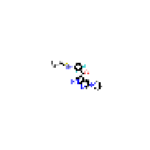 CCCSNc1ccc(F)c(C(=O)c2c[nH]c3ncc(N4CCCCC4)cc23)c1F